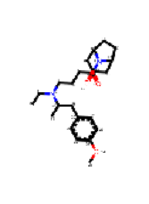 CCN(CCCC(=O)N1C2CCC1CC(=O)C2)C(C)Cc1ccc(OC)cc1